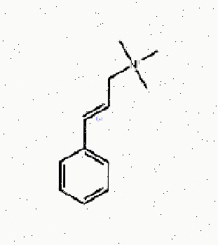 C[N+](C)(C)C/C=C/c1ccccc1